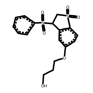 O=S1(=O)CC(S(=O)(=O)c2ccccc2)c2cc(OCCCO)ccc21